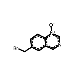 [O-][n+]1cncc2cc(CBr)ccc21